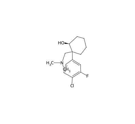 CN(C)CC1(c2ccc(Cl)c(F)c2)CCCC[C@@H]1O